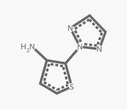 Nc1ccsc1-n1nccn1